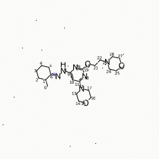 CC1CCCC/C1=N\Nc1cc(N2CCOCC2)nc(OCCN2CCOCC2)n1